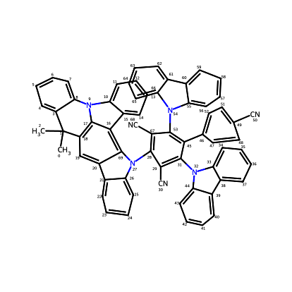 CC1(C)c2ccccc2-n2c3ccccc3c3c2c1cc1c2ccccc2n(-c2c(C#N)c(-n4c5ccccc5c5ccccc54)c(-c4ccc(C#N)cc4)c(-n4c5ccccc5c5ccccc54)c2C#N)c13